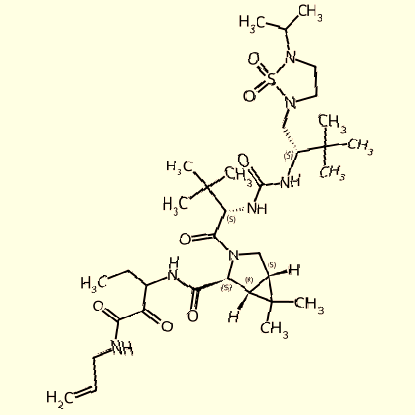 C=CCNC(=O)C(=O)C(CC)NC(=O)[C@@H]1[C@@H]2[C@H](CN1C(=O)[C@@H](NC(=O)N[C@H](CN1CCN(C(C)C)S1(=O)=O)C(C)(C)C)C(C)(C)C)C2(C)C